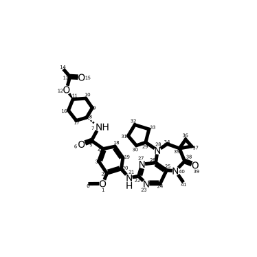 COc1cc(C(=O)N[C@H]2CC[C@H](OC(C)=O)CC2)ccc1Nc1ncc2c(n1)N(C1CCCC1)CC1(CC1)C(=O)N2C